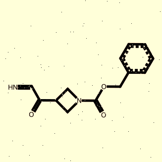 N=CC(=O)C1CN(C(=O)OCc2ccccc2)C1